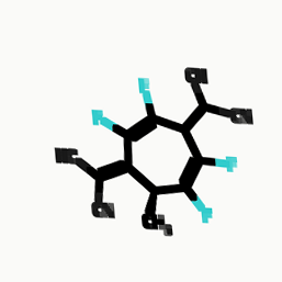 C[C@@H]1C(F)=C(F)C(C(C#N)C#N)C(F)=C(F)C1=C(C#N)C#N